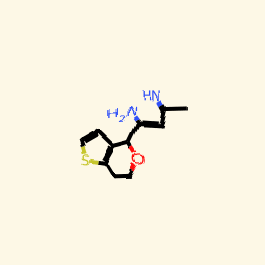 CC(=N)/C=C(\N)C1OCCc2sccc21